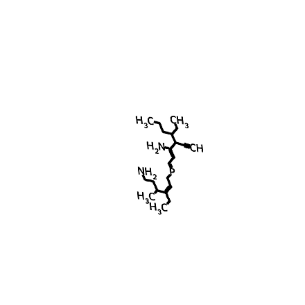 C#CC(/C(N)=C/C=P/C/C=C(/CC)C(C)CCN)C(CC)CCC